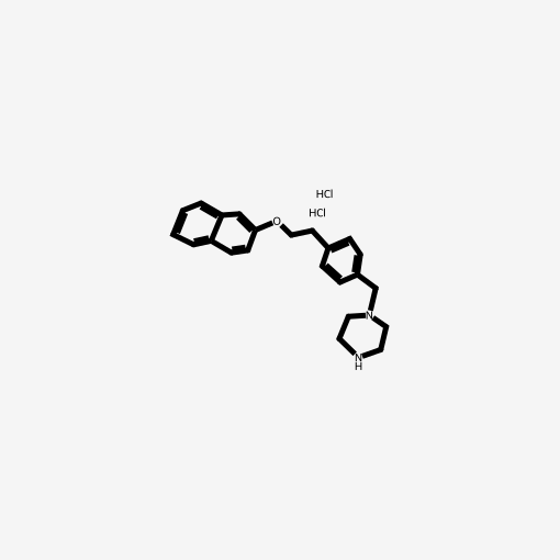 Cl.Cl.c1ccc2cc(OCCc3ccc(CN4CCNCC4)cc3)ccc2c1